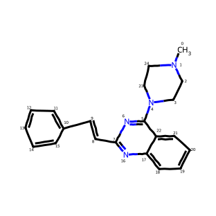 CN1CCN(c2nc(C=Cc3ccccc3)nc3ccccc23)CC1